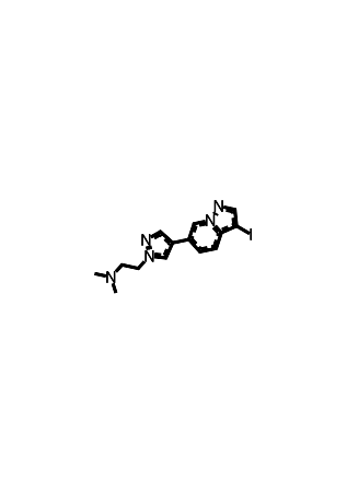 CN(C)CCn1cc(-c2ccc3c(I)cnn3c2)cn1